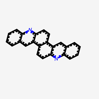 c1ccc2nc3ccc4c5cc6ccccc6nc5ccc4c3cc2c1